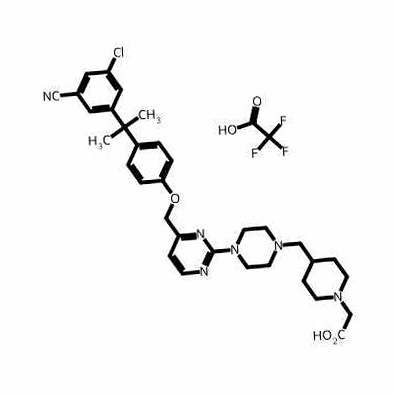 CC(C)(c1ccc(OCc2ccnc(N3CCN(CC4CCN(CC(=O)O)CC4)CC3)n2)cc1)c1cc(Cl)cc(C#N)c1.O=C(O)C(F)(F)F